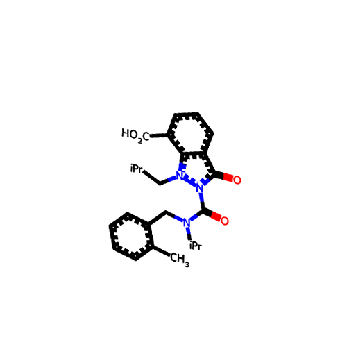 Cc1ccccc1CN(C(=O)n1c(=O)c2cccc(C(=O)O)c2n1CC(C)C)C(C)C